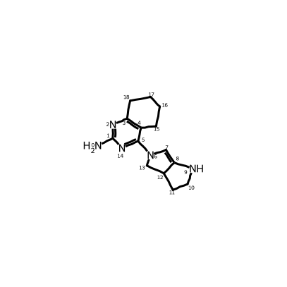 Nc1nc2c(c(N3C=C4NCCC4C3)n1)CCCC2